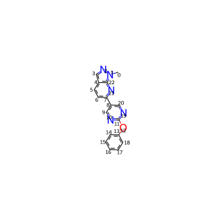 Cn1ncc2ccc(-c3cnc(Oc4ccccc4)nc3)nc21